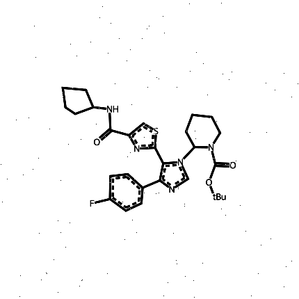 CC(C)(C)OC(=O)N1CCCCC1n1cnc(-c2ccc(F)cc2)c1-c1nc(C(=O)NC2CCCC2)cs1